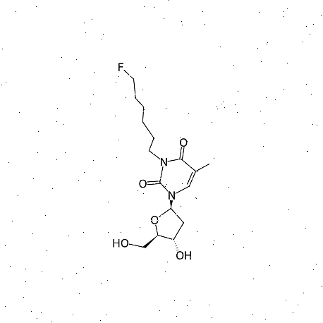 Cc1cn([C@H]2C[C@H](O)[C@@H](CO)O2)c(=O)n(CCCCCCF)c1=O